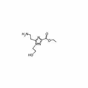 CCOC(=O)c1nc(CCN)n(CCO)n1